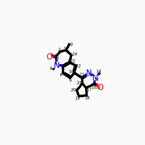 CC1CC(=O)N(C)c2ccc(C3=NN(C)C(=O)C4CCCC34)cc2C1